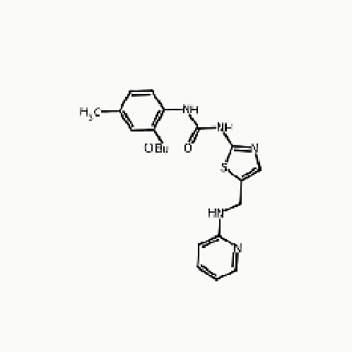 Cc1ccc(NC(=O)Nc2ncc(CNc3ccccn3)s2)c(OCC(C)C)c1